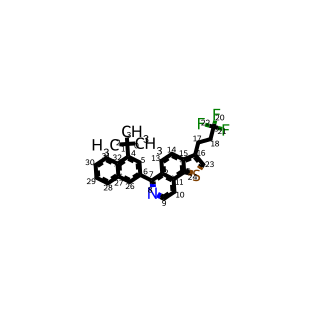 CC(C)(C)c1cc(-c2nccc3c2ccc2c(CCC(F)(F)F)csc23)cc2ccccc12